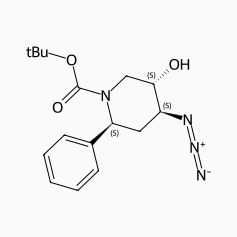 CC(C)(C)OC(=O)N1C[C@H](O)[C@@H](N=[N+]=[N-])C[C@H]1c1ccccc1